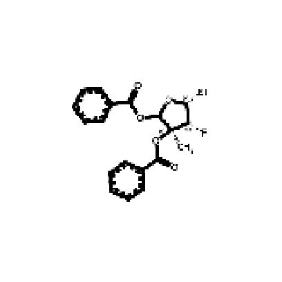 CC[C@H]1OC(OC(=O)c2ccccc2)[C@](C)(OC(=O)c2ccccc2)[C@H]1F